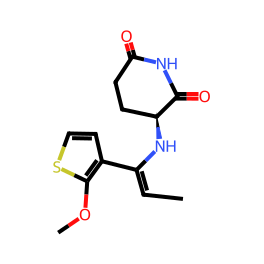 C/C=C(\N[C@H]1CCC(=O)NC1=O)c1ccsc1OC